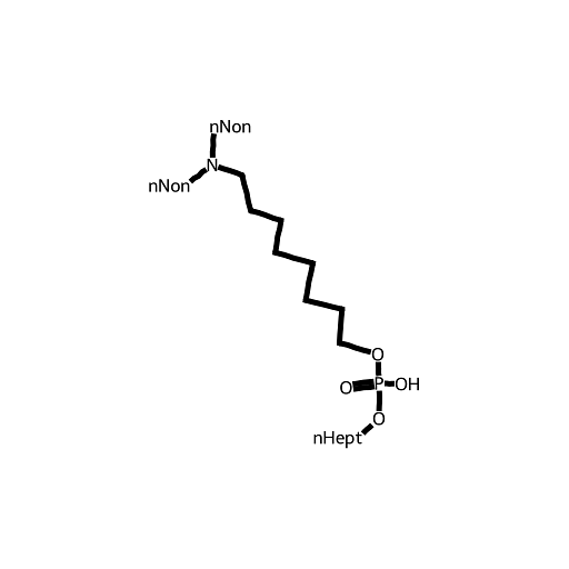 CCCCCCCCCN(CCCCCCCCC)CCCCCCCCOP(=O)(O)OCCCCCCC